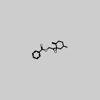 C=C1CCC(C)CC12OC2COC(=O)c1ccccc1